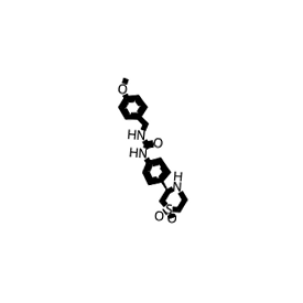 COc1ccc(CNC(=O)Nc2ccc([C@@H]3CS(=O)(=O)CCN3)cc2)cc1